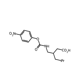 CC(C)CC(CNC(=O)Oc1ccc([N+](=O)[O-])cc1)CC(=O)O